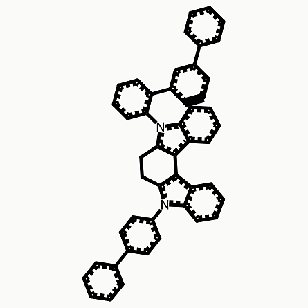 c1cc(-c2ccccc2)cc(-c2ccccc2-n2c3c(c4ccccc42)-c2c(n(-c4ccc(-c5ccccc5)cc4)c4ccccc24)CC3)c#1